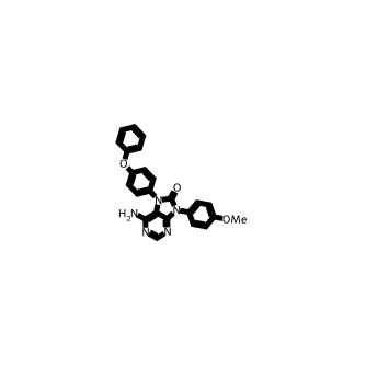 COc1[c]cc(-n2c(=O)n(-c3ccc(Oc4ccccc4)cc3)c3c(N)ncnc32)cc1